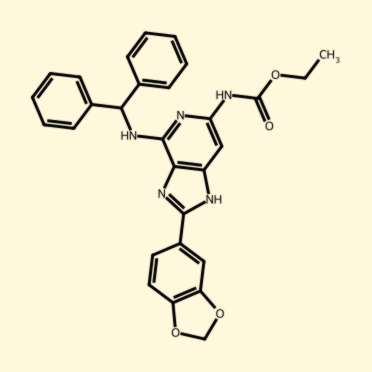 CCOC(=O)Nc1cc2[nH]c(-c3ccc4c(c3)OCO4)nc2c(NC(c2ccccc2)c2ccccc2)n1